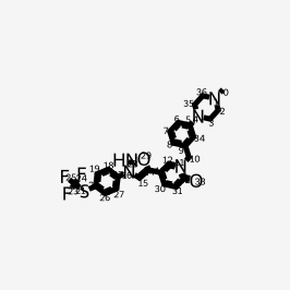 CN1CCN(c2cccc(Cn3cc(C4=CN(c5ccc(SC(F)(F)F)cc5)NO4)ccc3=O)c2)CC1